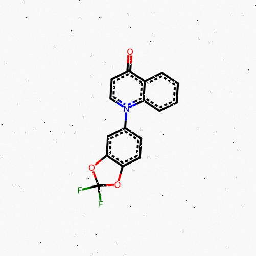 O=c1ccn(-c2ccc3c(c2)OC(F)(F)O3)c2ccccc12